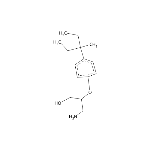 CCC(C)(CC)c1ccc(OC(CN)CO)cc1